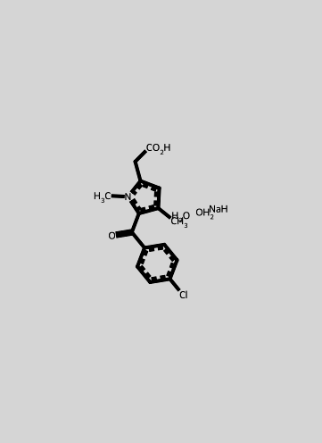 Cc1cc(CC(=O)O)n(C)c1C(=O)c1ccc(Cl)cc1.O.O.[NaH]